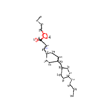 CCCCOC(=O)/C=C/C1CCC(C2CCC(CCCC)CC2)CC1